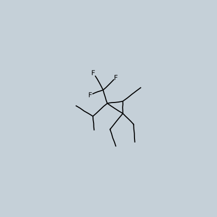 CCC1(CC)C(C)C1(C(C)C)C(F)(F)F